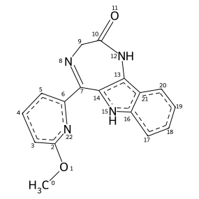 COc1cccc(C2=NCC(=O)Nc3c2[nH]c2ccccc32)n1